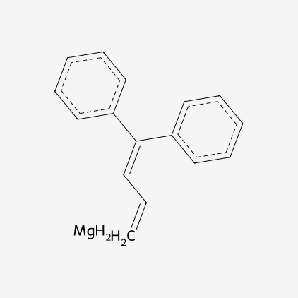 C=CC=C(c1ccccc1)c1ccccc1.[MgH2]